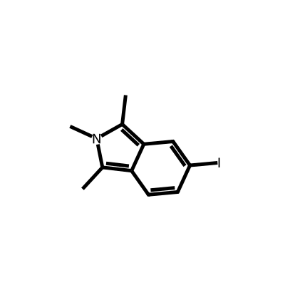 Cc1c2ccc(I)cc2c(C)n1C